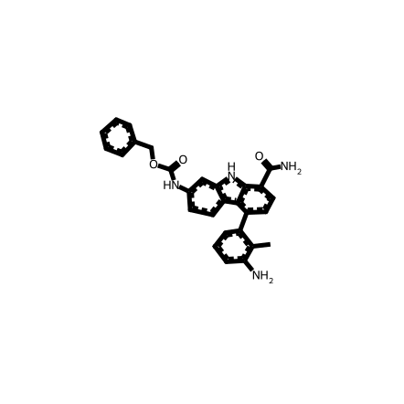 Cc1c(N)cccc1-c1ccc(C(N)=O)c2[nH]c3cc(NC(=O)OCc4ccccc4)ccc3c12